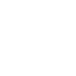 CC(=O)C(C/C=C/c1ccccc1)C/C=C/c1ccccc1